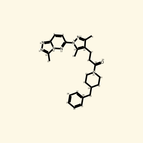 Cc1nn(-c2ccc3nnc(C)n3n2)c(C)c1CCC(=O)N1CCC(Cc2ccccc2)CC1